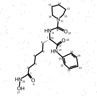 O=C(CCCCC[C@H](NC(=O)N1CCCCC1)C(=O)Nc1ccccc1)NO